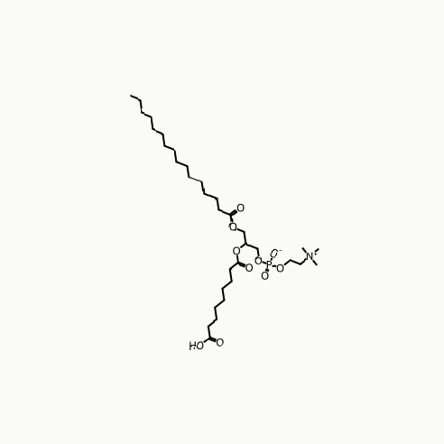 CCCCCCCCCCCCCCCC(=O)OCC(COP(=O)([O-])OCC[N+](C)(C)C)OC(=O)CCCCCCCC(=O)O